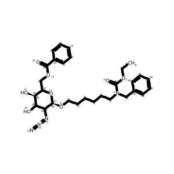 CCOC(=O)N(CCCCCCO[C@@H]1OC(COC(=O)c2ccccc2)[C@H](O)C(O)C1N=[N+]=[N-])Cc1ccccc1